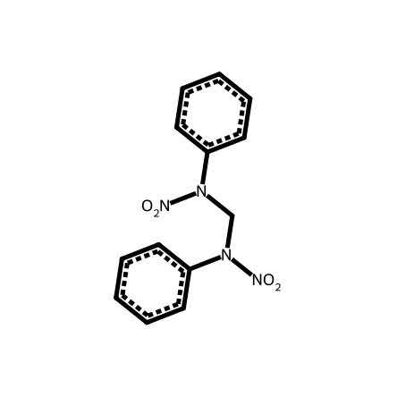 O=[N+]([O-])N(CN(c1ccccc1)[N+](=O)[O-])c1ccccc1